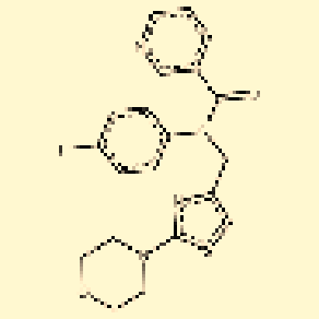 O=C(c1cccnc1)N(Cc1csc(N2CCOCC2)n1)c1ccc(F)cc1